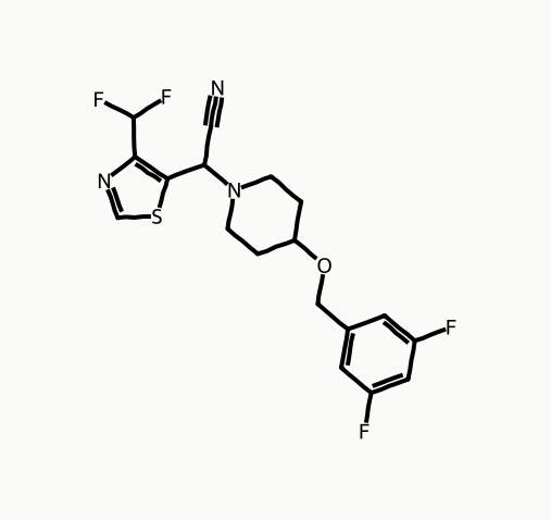 N#CC(c1scnc1C(F)F)N1CCC(OCc2cc(F)cc(F)c2)CC1